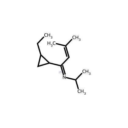 CCC1CC1/C(C=C(C)C)=N/C(C)C